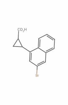 O=C(O)C1CC1c1cc(Br)cc2ccccc12